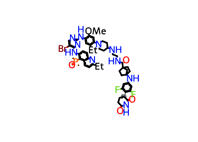 CCc1ccc2c(P(C)(C)=O)c(Nc3nc(Nc4cc(CC)c(N5CCC(NCCNC(=O)C67CCC(Nc8cc(F)c([C@H]9CCC(=O)NC9=O)c(F)c8)(CC6)C7)CC5)cc4OC)ncc3Br)ccc2n1